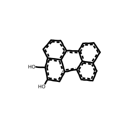 Oc1cc2c3cccc4cccc(c5cccc(c1O)c52)c43